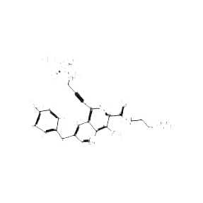 COCCNC(=O)c1nc(C#CCNS(C)(=O)=O)c2cc(Cc3ccc(F)cc3)cnc2c1O